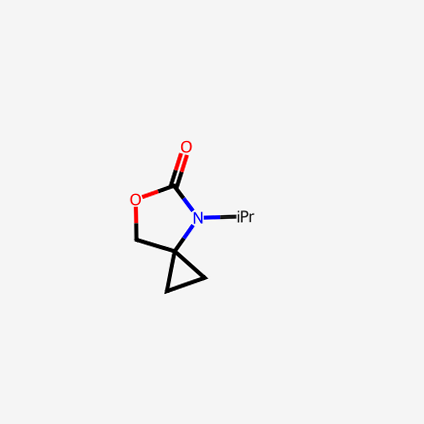 CC(C)N1C(=O)OCC12CC2